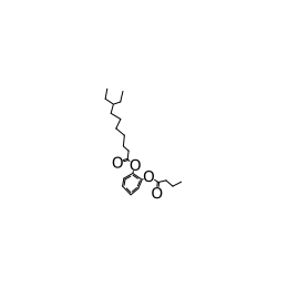 CCCC(=O)Oc1ccccc1OC(=O)CCCCCCC(CC)CC